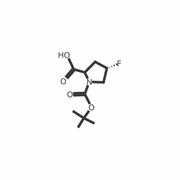 CC(C)(C)OC(=O)N1C[C@@H](F)CC1C(=O)O